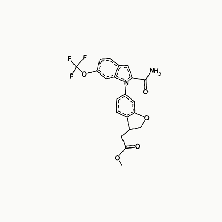 COC(=O)CC1COc2cc(-n3c(C(N)=O)cc4ccc(OC(F)(F)F)cc43)ccc21